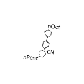 CCCCCCCCc1ccc(-c2ccc([C@]3(C#N)CC[C@H](CCCCC)CC3)cc2)cc1